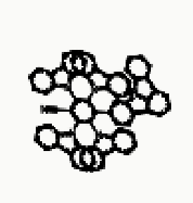 N#Cc1c(-n2c3ccccc3c3ccccc32)c(-n2c3ccccc3c3ccccc32)c(-c2ccc3c4cccc5c6ccccc6n(c3c2)c54)c(-n2c3ccccc3c3ccccc32)c1-n1c2ccccc2c2ccccc21